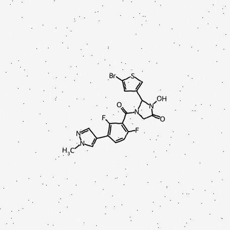 Cn1cc(-c2ccc(F)c(C(=O)N3CC(=O)N(O)C3c3csc(Br)c3)c2F)cn1